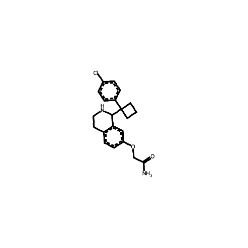 NC(=O)COc1ccc2c(c1)C(C1(c3ccc(Cl)cc3)CCC1)NCC2